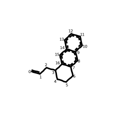 C=CCC1CCCc2cc3ccccc3cc21